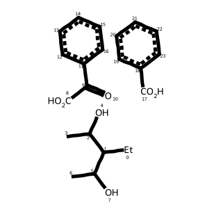 CCC(C(C)O)C(C)O.O=C(O)C(=O)c1ccccc1.O=C(O)c1ccccc1